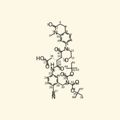 CN1C(=O)CCc2ccc(N3CCO[C@H]([C@@H](CC(=O)O)C(=O)Nc4ccc(C#N)c(CN(C(=O)OC(C)(C)C)C(=O)OC(C)(C)C)c4)C3=O)cc21